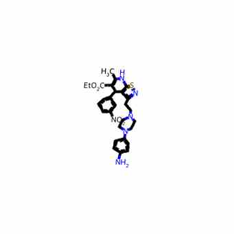 CCOC(=O)C1=C(C)Nc2snc(CCN3CCN(c4ccc(N)cc4)CC3)c2C1c1cccc([N+](=O)[O-])c1